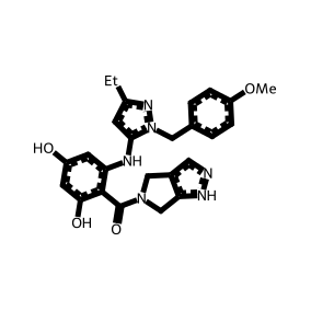 CCc1cc(Nc2cc(O)cc(O)c2C(=O)N2Cc3cn[nH]c3C2)n(Cc2ccc(OC)cc2)n1